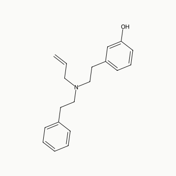 C=CCN(CCc1ccccc1)CCc1cccc(O)c1